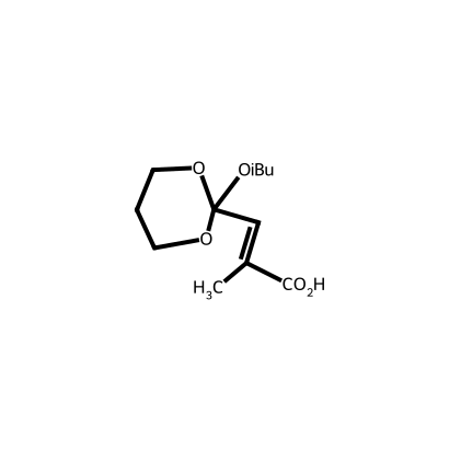 CC(=CC1(OCC(C)C)OCCCO1)C(=O)O